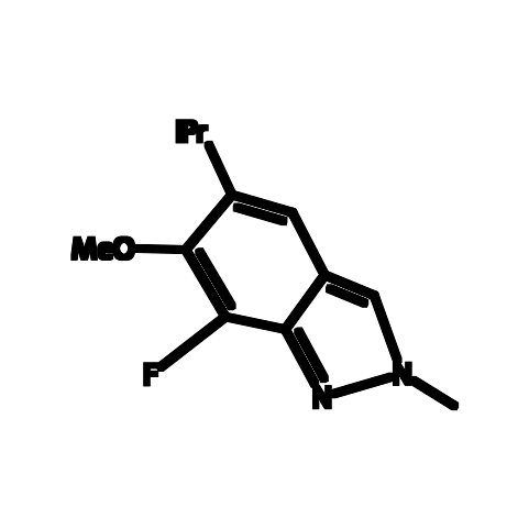 COc1c(C(C)C)cc2cn(C)nc2c1F